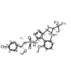 COc1cccc(OC)c1-n1c(NS(=O)(=O)[C@@H](C)[C@H](OC)c2ncc(Cl)cn2)nnc1C1CC(C(F)(F)F)C1